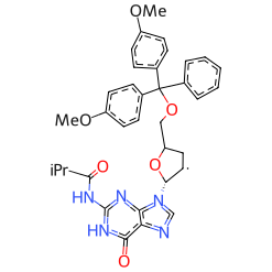 COc1ccc(C(OCC2C[CH][C@H](n3cnc4c(=O)[nH]c(NC(=O)C(C)C)nc43)O2)(c2ccccc2)c2ccc(OC)cc2)cc1